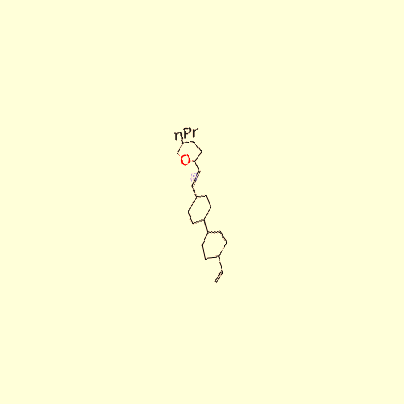 C=CC1CCC(C2CCC(/C=C/C3CCC(CCC)CO3)CC2)CC1